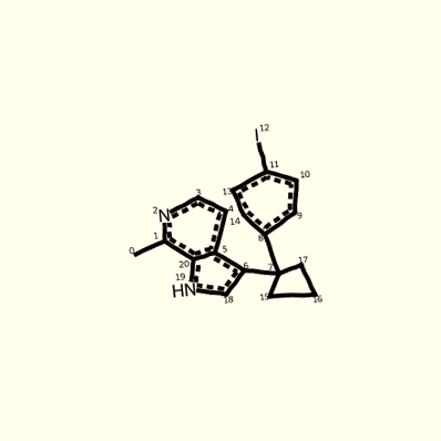 Cc1nccc2c(C3(c4ccc(I)cc4)CCC3)c[nH]c12